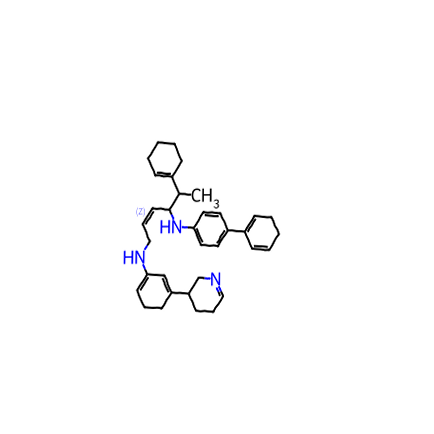 CC(C1=CCCCC1)C(/C=C\CNC1=CCCC(C2CCC=NC2)=C1)Nc1ccc(C2=CCCC=C2)cc1